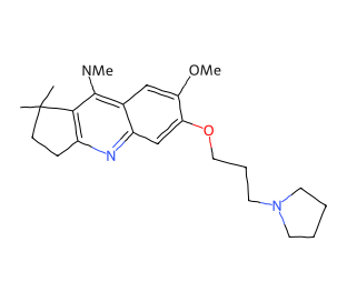 CNc1c2c(nc3cc(OCCCN4CCCC4)c(OC)cc13)CCC2(C)C